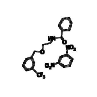 O=C(NCCOCc1cccc(C(F)(F)F)c1)c1ccccc1.O=[N+]([O-])c1cccc([N+](=O)[O-])c1